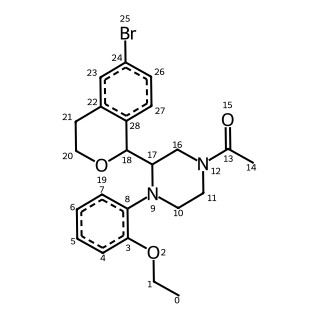 CCOc1ccccc1N1CCN(C(C)=O)CC1C1OCCc2cc(Br)ccc21